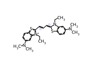 CCN1/C(=C/C=C/c2sc3ccc(N(C)C)cc3[n+]2CC)Sc2ccc(N(C)C)cc21